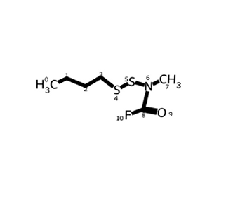 CCCCSSN(C)C(=O)F